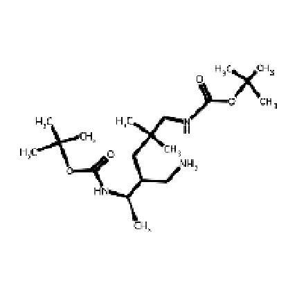 C[C@@H](NC(=O)OC(C)(C)C)C(CN)CC(C)(C)CNC(=O)OC(C)(C)C